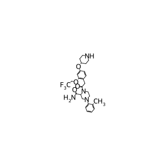 Cc1ccccc1N1CCN(C(=O)Cc2ccc(OC3CCNCC3)cc2OCC(F)(F)F)C(C(N)=O)C1